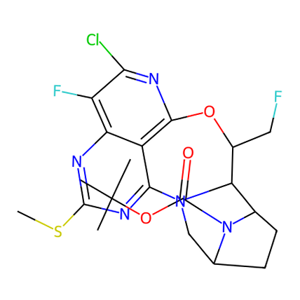 CSc1nc2c3c(nc(Cl)c(F)c3n1)OC(CF)C1C3CCC(CN21)N3C(=O)OC(C)(C)C